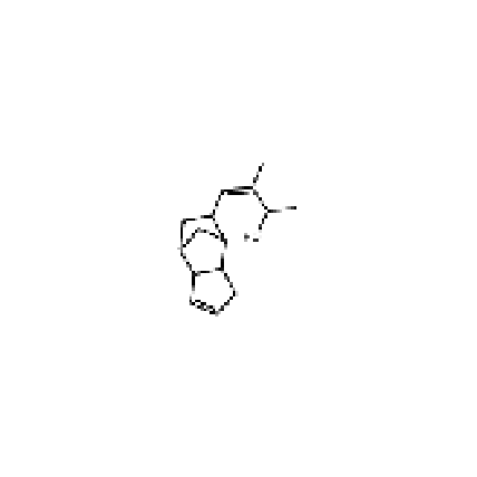 CC(=CC1CC2CC1C1CC=CC21)C(C)O